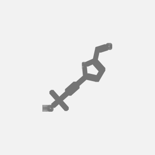 CC(C)(O)C#Cc1ccc(C=O)s1